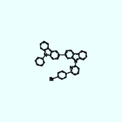 Brc1ccc(-c2cccc(-n3c4ccccc4c4ccc(-c5ccc6c(c5)c5ccccc5n6-c5ccccc5)cc43)n2)cc1